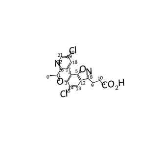 C[C@H](Oc1cc2onc(CCC(=O)O)c2cc1Cl)c1ccc(Cl)cn1